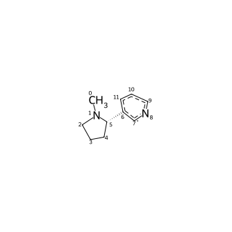 CN1CCC[C@H]1c1[c]nccc1